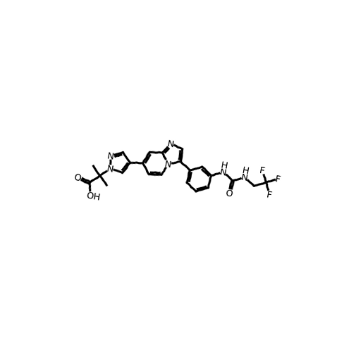 CC(C)(C(=O)O)n1cc(-c2ccn3c(-c4cccc(NC(=O)NCC(F)(F)F)c4)cnc3c2)cn1